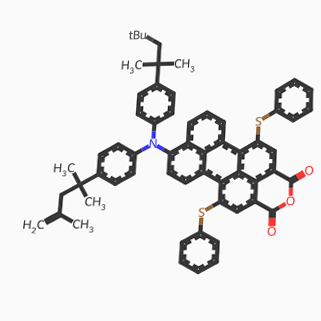 C=C(C)CC(C)(C)c1ccc(N(c2ccc(C(C)(C)CC(C)(C)C)cc2)c2ccc3c4c(Sc5ccccc5)cc5c6c(cc(Sc7ccccc7)c(c7cccc2c73)c64)C(=O)OC5=O)cc1